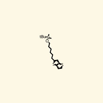 CC(C)(C)[Si](C)(C)OCCCCCCc1cc2sccc2s1